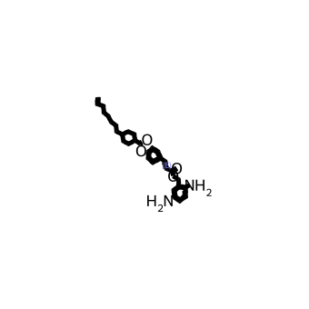 C=CCCCCCCC1CCC(C(=O)Oc2ccc(/C=C/C(=O)OCc3cc(N)ccc3N)cc2)CC1